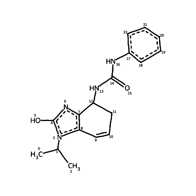 CC(C)n1c(O)nc2c1C=CCC2NC(=O)Nc1ccccc1